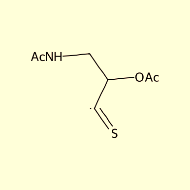 CC(=O)NCC([C]=S)OC(C)=O